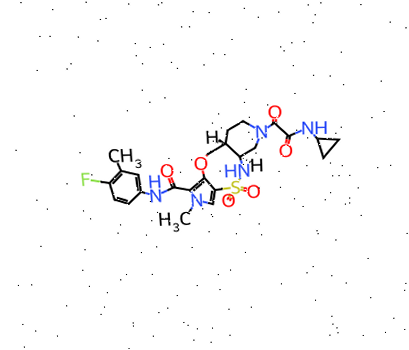 Cc1cc(NC(=O)c2c3c(cn2C)S(=O)(=O)N[C@@H]2CN(C(=O)C(=O)NC4CC4)CC[C@H]2CO3)ccc1F